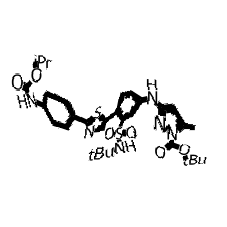 Cc1cc(Nc2ccc(-c3cnc(C4CCC(NC(=O)OC(C)C)CC4)s3)c(S(=O)(=O)NC(C)(C)C)c2)nn1C(=O)OC(C)(C)C